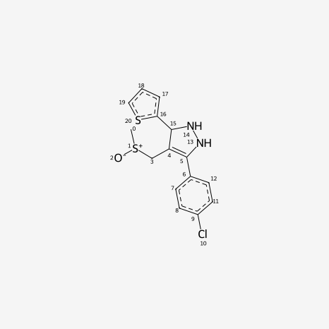 C[S+]([O-])CC1=C(c2ccc(Cl)cc2)NNC1c1cccs1